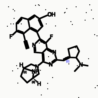 C#Cc1c(F)ccc2cc(O)cc(-c3ncc4c(N5C[C@H]6CC[C@@H](C5)N6)nc(/C=C5\CCCC5N(C)C)nc4c3F)c12